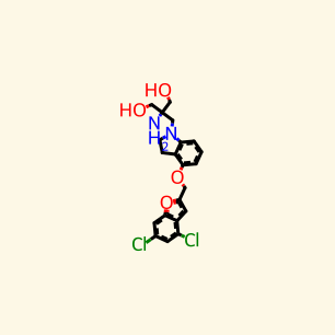 NC(CO)(CO)CN1CCc2c(OCc3cc4c(Cl)cc(Cl)cc4o3)cccc21